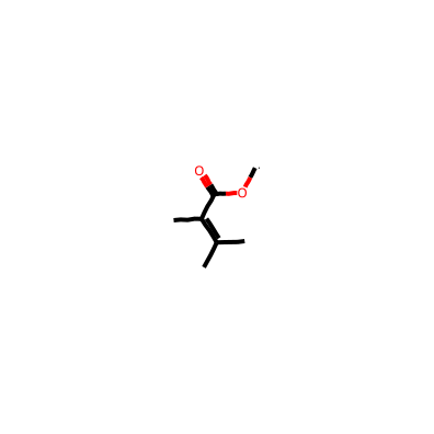 [CH2]OC(=O)C(C)=C(C)C